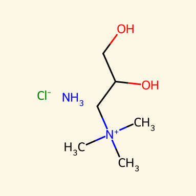 C[N+](C)(C)CC(O)CO.N.[Cl-]